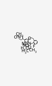 CC(=O)N1CC=C(c2cc3c(n4cnnc24)N(C(=O)OC(C)(C)C)Cc2c(F)cccc2CCO3)CC1